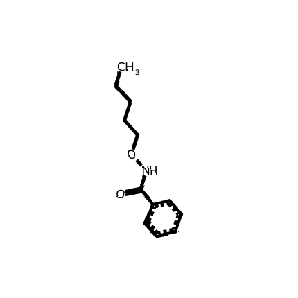 CCCCCONC(=O)c1cc[c]cc1